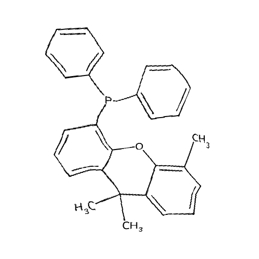 Cc1cccc2c1Oc1c(P(c3ccccc3)c3ccccc3)cccc1C2(C)C